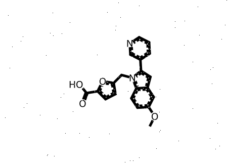 COc1ccc2c(c1)cc(-c1cccnc1)n2Cc1ccc(C(=O)O)o1